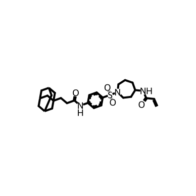 C=CC(=O)NC1CCCN(S(=O)(=O)c2ccc(NC(=O)CCC34CC5CC(CC(C5)C3)C4)cc2)CC1